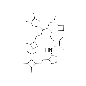 CC(C)C1C(C)C(C)C1CCC1CCCC1NC1C(C)C(C)C1CCC(CC(C)C1CCC1)C(CCC1CCC1C)C1CC(C)[C@H](C)C1